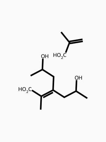 C=C(C)C(=O)O.CC(C(=O)O)=C(CC(C)O)CC(C)O